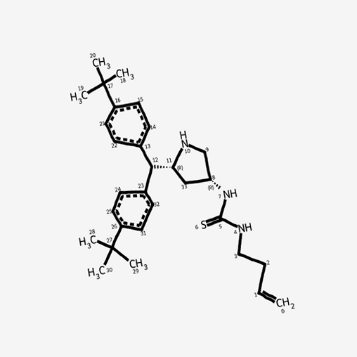 C=CCCNC(=S)N[C@H]1CN[C@@H](C(c2ccc(C(C)(C)C)cc2)c2ccc(C(C)(C)C)cc2)C1